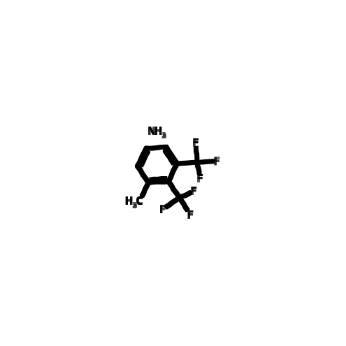 Cc1cccc(C(F)(F)F)c1C(F)(F)F.N